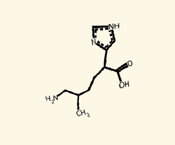 CC(CN)CCC(C(=O)O)c1c[nH]cn1